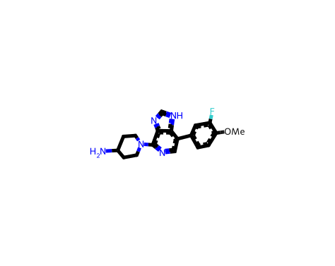 COc1ccc(-c2cnc(N3CCC(N)CC3)c3nc[nH]c23)cc1F